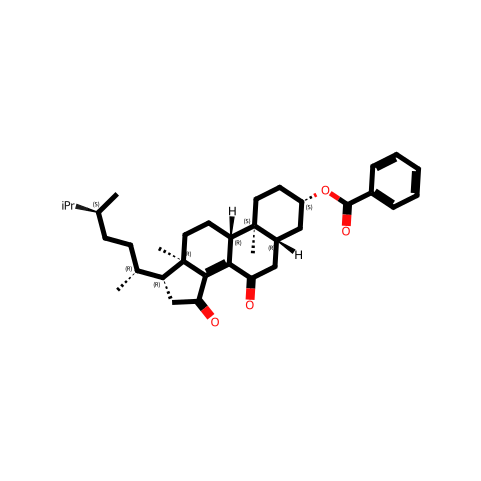 CC(C)[C@@H](C)CC[C@@H](C)[C@H]1CC(=O)C2=C3C(=O)C[C@H]4C[C@@H](OC(=O)c5ccccc5)CC[C@]4(C)[C@H]3CC[C@@]21C